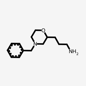 NCCCC1CN(Cc2ccccc2)CCO1